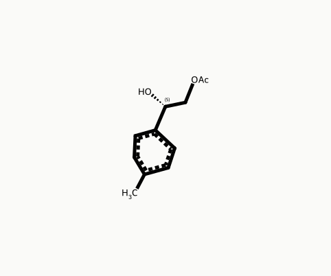 CC(=O)OC[C@@H](O)c1ccc(C)cc1